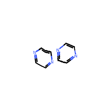 c1cnccn1.c1cnccn1